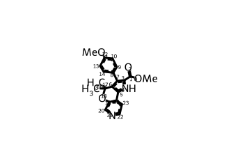 COC(=O)c1[nH]c2c(c1-c1ccc(OC)cc1)C(C)(C)Oc1cnccc1-2